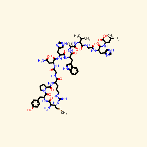 CSCCC(N)C(=O)NC(Cc1ccc(O)cc1)C(=O)N1CCCC1C(=O)NC(CCCNC(=N)N)C(=O)NCC(=O)NC(CC(N)=O)C(=O)NC(Cc1c[nH]cn1)C(=O)NC(Cc1c[nH]c2ccccc12)C(=O)NC(C)C(=O)NC(C(=O)NCC(=O)NC(Cc1c[nH]cn1)C(=O)NC(CC(C)C)C(=O)O)C(C)C